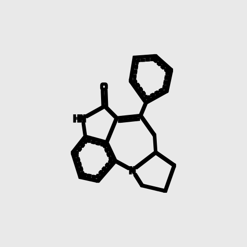 O=C1Nc2cccc3c2C1=C(c1ccccc1)CC1CCCN31